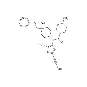 CC1CCC(C(=O)N(c2cc(C#CC(C)(C)C)sc2C(=O)O)C2CCC(O)(COc3ccccc3)CC2)CC1